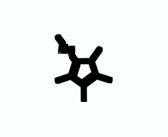 [CH3][Mg][C]1=C(C)C(C)=C(C)C1C